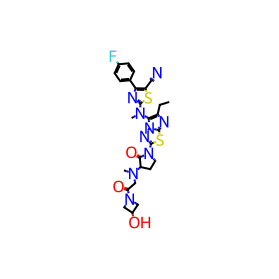 CCc1nc2sc(N3CCC(N(C)CC(=O)N4CC(O)C4)C3=O)nn2c1N(C)c1nc(-c2ccc(F)cc2)c(C#N)s1